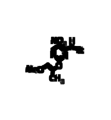 CCNc1nc(OC(C)COC)ncc1[N+](=O)[O-]